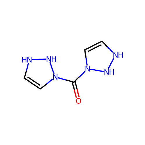 O=C(N1C=CNN1)N1C=CNN1